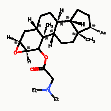 CCN(CC)CC(=O)OC1[C@H]2O[C@H]2C[C@@H]2CC[C@H]3[C@@H]4CC[C@H](C(C)=O)[C@@]4(C)CC[C@@H]3[C@@]12C